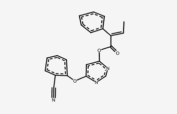 CC=C(C(=O)Oc1cc(Oc2ccccc2C#N)ncn1)c1ccccc1